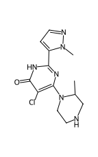 CC1CNCCN1c1nc(-c2ccnn2C)[nH]c(=O)c1Cl